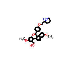 COc1ccc(-c2ccc3cc(OC)ccc3c2C(=O)c2ccc(OCCC3CCCCN3)cc2)c(CO)c1